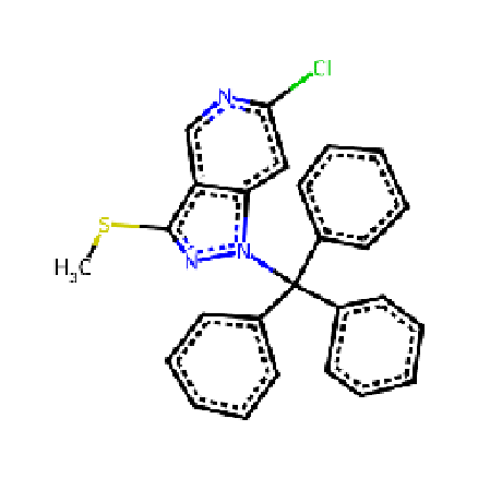 CSc1nn(C(c2ccccc2)(c2ccccc2)c2ccccc2)c2cc(Cl)ncc12